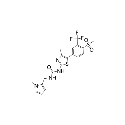 Cc1nc(NC(=O)NCc2cccn2C)sc1-c1ccc(S(C)(=O)=O)c(C(F)(F)F)c1